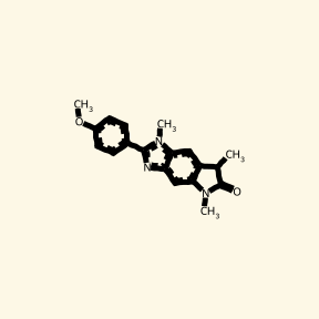 COc1ccc(-c2nc3cc4c(cc3n2C)C(C)C(=O)N4C)cc1